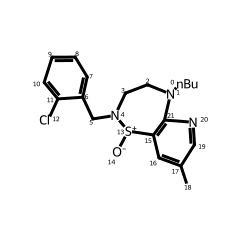 CCCCN1CCN(Cc2ccccc2Cl)[S+]([O-])c2cc(C)cnc21